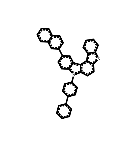 c1ccc(-c2ccc(-n3c4ccc(-c5ccc6ccccc6c5)cc4c4c5c(ccc43)sc3ccccc35)cc2)cc1